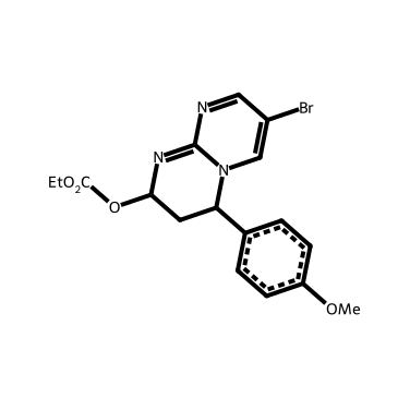 CCOC(=O)OC1CC(c2ccc(OC)cc2)N2C=C(Br)C=NC2=N1